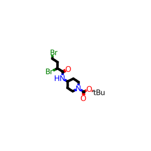 CC(C)(C)OC(=O)N1CCC(NC(=O)C(Br)CCBr)CC1